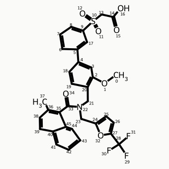 COc1cc(-c2cccc(S(=O)(=O)CC(=O)O)c2)ccc1CN(Cc1ccc(C(F)(F)F)o1)C(=O)c1c(C)ccc2ccccc12